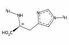 [2H]N[C@@H](Cc1cn([2H])cn1)C(=O)O